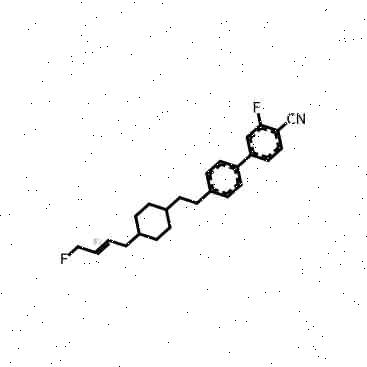 N#Cc1ccc(-c2ccc(CCC3CCC(C/C=C/CF)CC3)cc2)cc1F